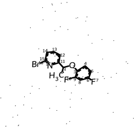 CC(Oc1ccc(F)cc1F)c1cccc(Br)n1